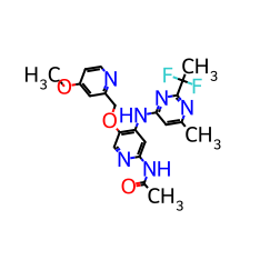 COc1ccnc(COc2cnc(NC(C)=O)cc2Nc2cc(C)nc(C(C)(F)F)n2)c1